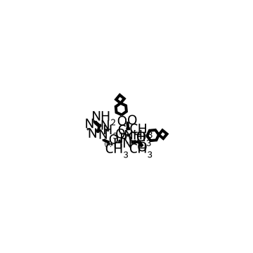 C[C@H](Cn1cnc2c(N)ncnc21)OCP(=O)(NC(C)(C)C(=O)OC1CCC2(CCC2)CC1)NC(C)(C)C(=O)OC1CCC2(CCC2)CC1